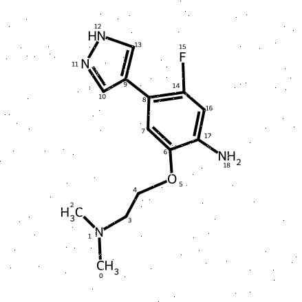 CN(C)CCOc1cc(-c2cn[nH]c2)c(F)cc1N